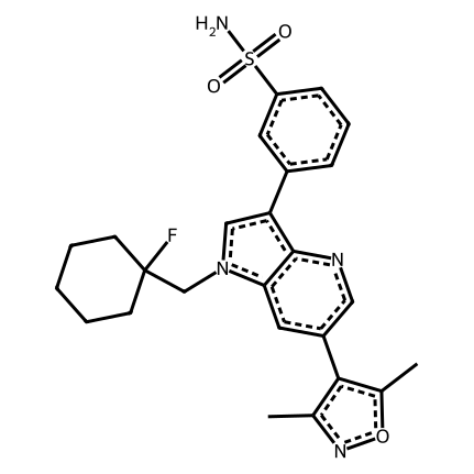 Cc1noc(C)c1-c1cnc2c(-c3cccc(S(N)(=O)=O)c3)cn(CC3(F)CCCCC3)c2c1